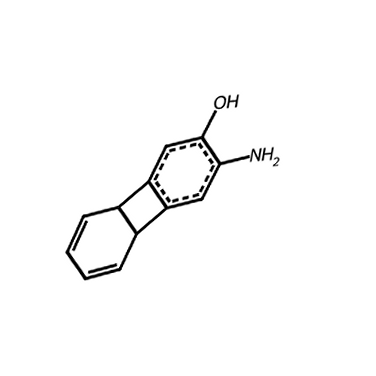 Nc1cc2c(cc1O)C1C=CC=CC21